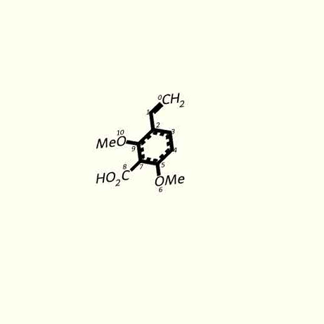 C=Cc1ccc(OC)c(C(=O)O)c1OC